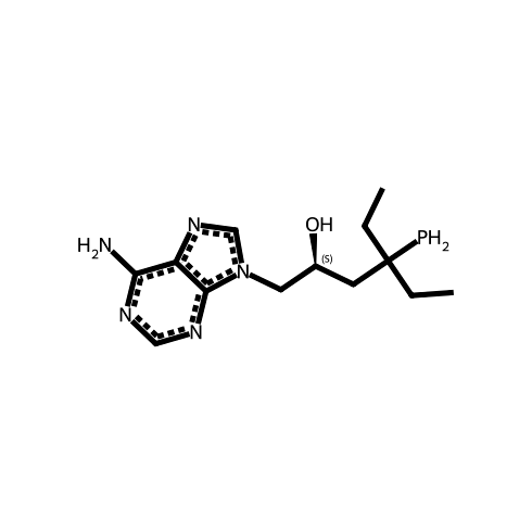 CCC(P)(CC)C[C@H](O)Cn1cnc2c(N)ncnc21